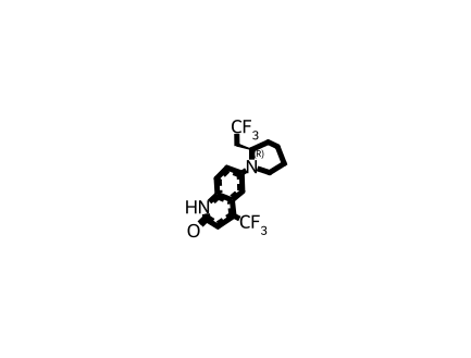 O=c1cc(C(F)(F)F)c2cc(N3CCCC[C@@H]3CC(F)(F)F)ccc2[nH]1